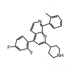 Cc1ccccc1-c1nccc2c(-c3ccc(F)cc3F)cc(C3CCNCC3)nc12